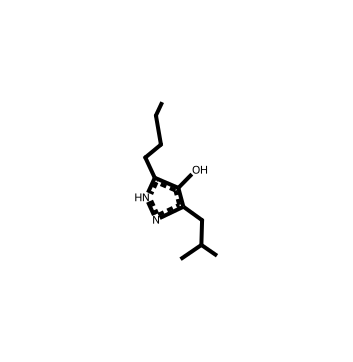 CCCCc1[nH]nc(CC(C)C)c1O